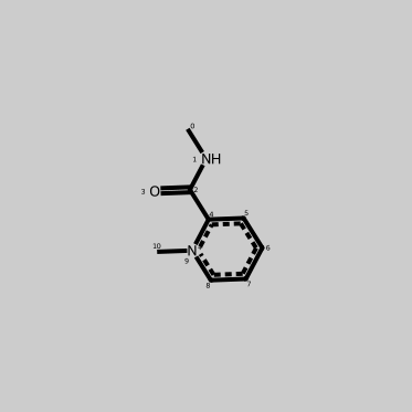 CNC(=O)c1cccc[n+]1C